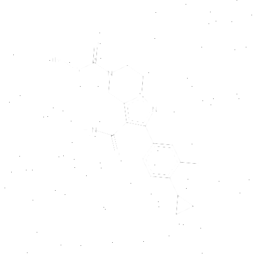 CC(C)(C)OC(=O)N1CCn2nc(-c3ccc(C4CC4)c(Cl)c3)c(C(N)=O)c2C1